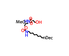 CCCCCCCCCCCCCCCCCCNC(=O)OCC(CNS(=O)(=O)CCO)OC